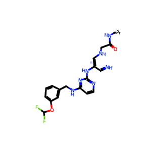 CC(C)NC(=O)CN/C=C(\C=N)Nc1nccc(NCc2cccc(OC(F)F)c2)n1